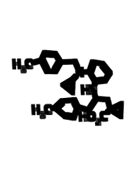 Cc1ccc(CC(CC2(C(=O)O)CC2)Nc2ccccc2N(Cc2ccc(C)cc2)C2CC2)cc1